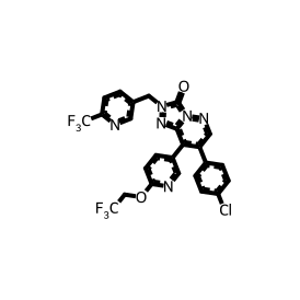 O=c1n(Cc2ccc(C(F)(F)F)nc2)nc2c(-c3ccc(OCC(F)(F)F)nc3)c(-c3ccc(Cl)cc3)cnn12